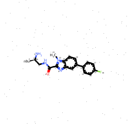 CCCC[C@@H](N)CNC(=O)c1nc2cc(-c3ccc(F)cc3)ccc2n1C